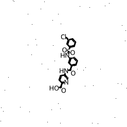 O=C(Nc1ccc(C(=O)O)nc1)c1cccc(NS(=O)(=O)c2cccc(Cl)c2)c1